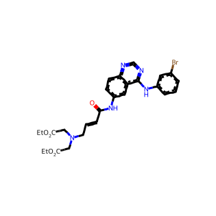 CCOC(=O)CN(CC=CC(=O)Nc1ccc2ncnc(Nc3cccc(Br)c3)c2c1)CC(=O)OCC